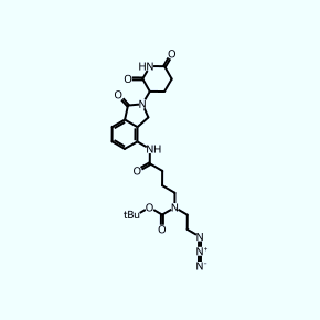 CC(C)(C)OC(=O)N(CCCC(=O)Nc1cccc2c1CN(C1CCC(=O)NC1=O)C2=O)CCN=[N+]=[N-]